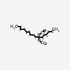 CCCCCCCCCC(CCCCCC)(N=C=O)N=C=O